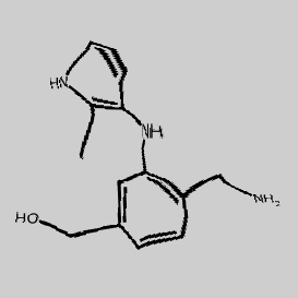 Cc1[nH]ccc1Nc1cc(CO)ccc1CN